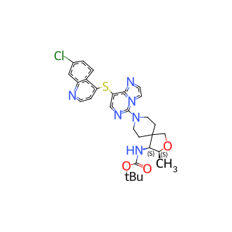 C[C@@H]1OCC2(CCN(c3ncc(Sc4ccnc5cc(Cl)ccc45)c4nccn34)CC2)[C@@H]1NC(=O)OC(C)(C)C